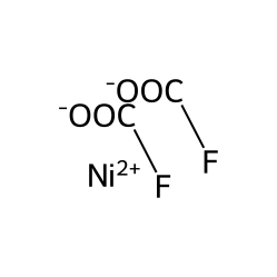 O=C([O-])F.O=C([O-])F.[Ni+2]